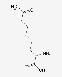 CC(=O)CCCCCC(N)C(=O)O